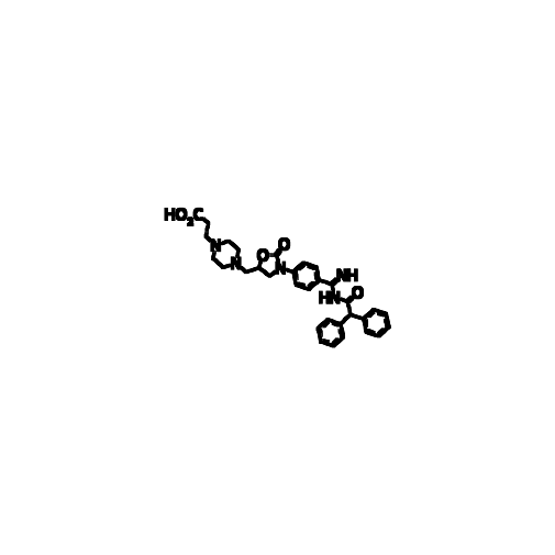 N=C(NC(=O)C(c1ccccc1)c1ccccc1)c1ccc(N2CC(CN3CCN(CCC(=O)O)CC3)OC2=O)cc1